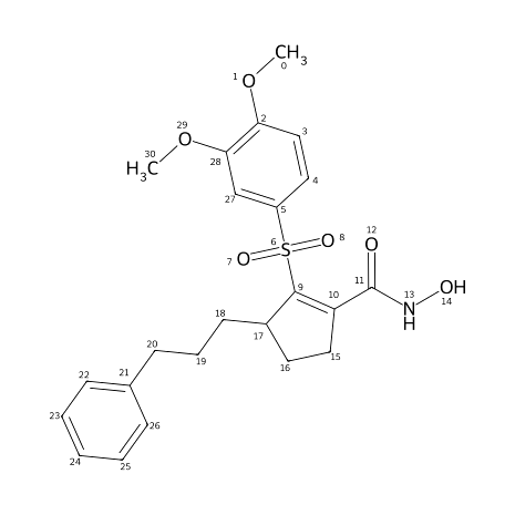 COc1ccc(S(=O)(=O)C2=C(C(=O)NO)CCC2CCCc2ccccc2)cc1OC